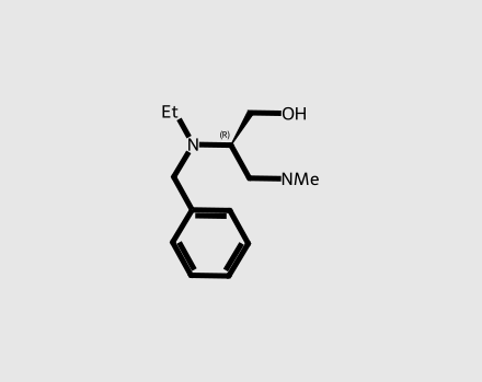 CCN(Cc1ccccc1)[C@@H](CO)CNC